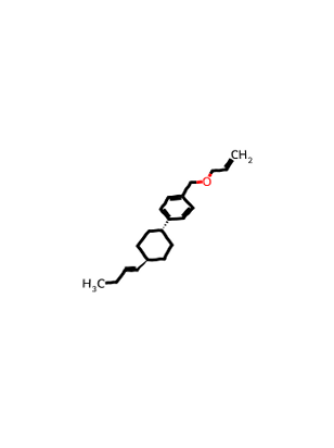 C=CCOCc1ccc([C@H]2CC[C@H](/C=C/CC)CC2)cc1